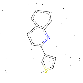 c1ccc2nc(-c3ccsc3)ccc2c1